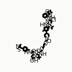 Cc1cc(Nc2ncc(Cl)c(Nc3ccccc3S(=O)(=O)C(C)C)n2)c(OC(C)C)cc1C1CCN(C(=O)COCCOCC(=O)NC(C(=O)N2C[C@@H](O)C[C@H]2C(=O)NCc2ccc(-c3scnc3C)cc2)C(C)(C)C)CC1